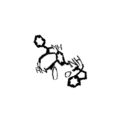 CC1(C(=O)Nc2cc3c4c(c2)C(=O)NN=CC4C(c2ccccc2)N3)CCc2ccccc21